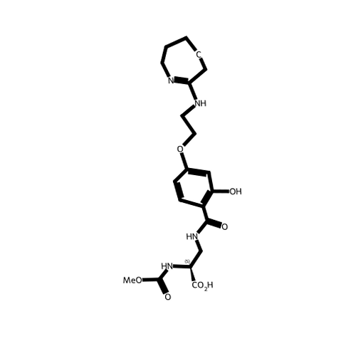 COC(=O)N[C@@H](CNC(=O)c1ccc(OCCNC2=NCCCCC2)cc1O)C(=O)O